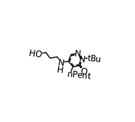 CCCCCc1c(NCCCO)cnn(C(C)(C)C)c1=O